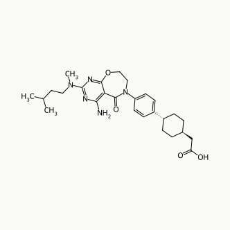 CC(C)CCN(C)c1nc(N)c2c(n1)OCCN(c1ccc([C@H]3CC[C@H](CC(=O)O)CC3)cc1)C2=O